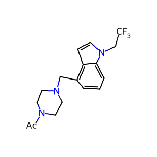 CC(=O)N1CCN(Cc2cccc3c2ccn3CC(F)(F)F)CC1